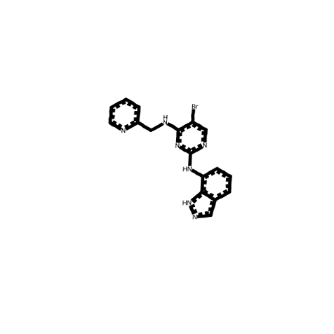 Brc1cnc(Nc2cccc3cn[nH]c23)nc1NCc1ccccn1